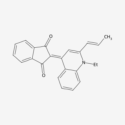 C/C=C/C1=CC(=C2C(=O)c3ccccc3C2=O)c2ccccc2N1CC